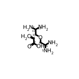 C=CC(=O)O.NC(N)COCC(N)N